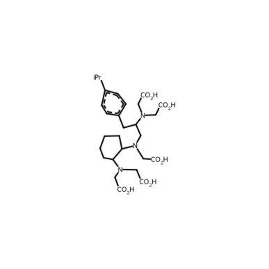 CC(C)c1ccc(CC(CN(CC(=O)O)C2CCCCC2N(CC(=O)O)CC(=O)O)N(CC(=O)O)CC(=O)O)cc1